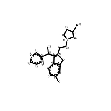 Cc1ccc2c(c1)CC(CCN1CCC(F)C1)=C2C(C)c1cnccn1